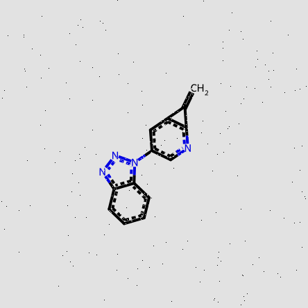 C=C1c2cc(-n3nnc4ccccc43)cnc21